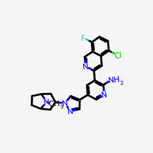 CN1C2CCC1CC(n1cc(-c3cnc(N)c(-c4cc5c(Cl)ccc(F)c5cn4)c3)cn1)C2